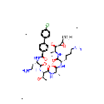 C[C@H](NC(=O)[C@@H](NC(=O)[C@H](CCN)NC(=O)c1ccc(-c2ccc(Cl)cc2)cc1)[C@@H](C)O)C(=O)N[C@@H](CCCCN)C(=O)N[C@@H](C)C(=O)C1OC1C(=O)O